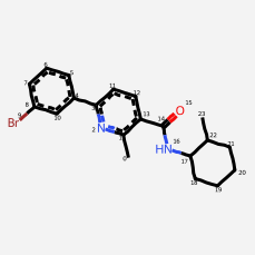 Cc1nc(-c2cccc(Br)c2)ccc1C(=O)NC1CCCCC1C